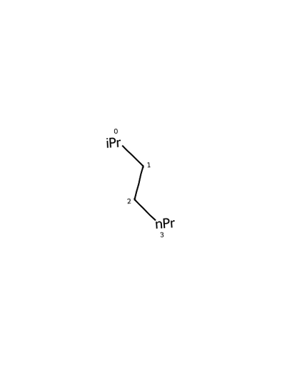 [CH2]C(C)CCCCC